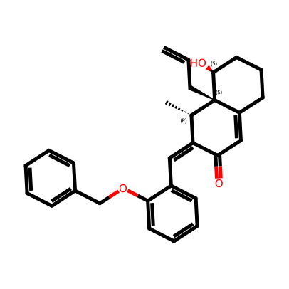 C=CC[C@@]12C(=CC(=O)C(=Cc3ccccc3OCc3ccccc3)[C@@H]1C)CCC[C@@H]2O